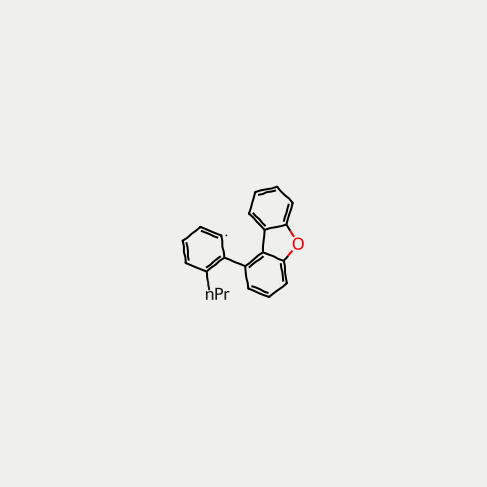 CCCc1ccc[c]c1-c1cccc2oc3ccccc3c12